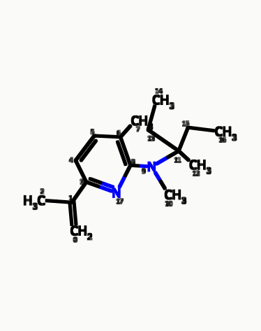 C=C(C)c1ccc(C)c(N(C)C(C)(CC)CC)n1